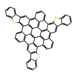 c1ccc2c(c1)sc1c2cc2c3cccc4c3c3c5c2c1c1cccc2c6cc7c8ccccc8sc7c7c8cccc9c%10cc%11c%12ccccc%12sc%11c4c%10c3c(c98)c(c67)c5c21